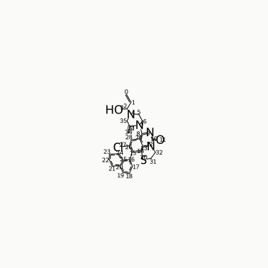 C=CC(O)N1CCN(c2nc(=O)n3c4c(c(-c5cccc6ccccc56)c(Cl)cc24)SCC3)[C@@H](C)C1